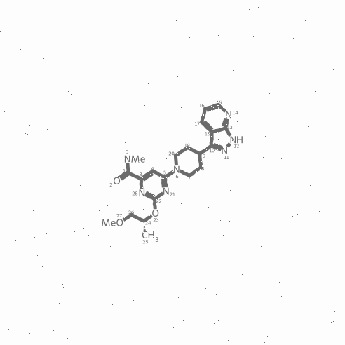 CNC(=O)c1cc(N2CCC(c3n[nH]c4ncccc34)CC2)nc(O[C@H](C)COC)n1